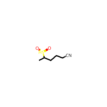 CC(CCCC#N)[SH](=O)=O